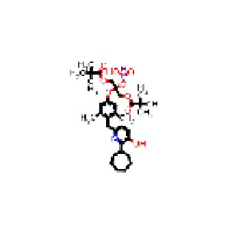 Cc1cc(OC(COC(=O)C(C)(C)C)(COC(=O)C(C)(C)C)O[PH](=O)O)cc(C)c1Cc1ccc(O)c(C2CCCCCC2)n1